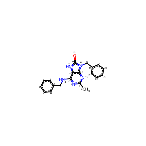 Cc1nc(NCc2ccccc2)c2[nH]c(=O)n(Cc3ccccc3)c2n1